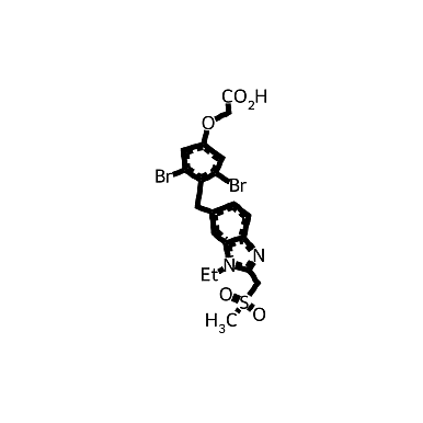 CCn1c(CS(C)(=O)=O)nc2ccc(Cc3c(Br)cc(OCC(=O)O)cc3Br)cc21